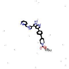 CC(C)(C)OC(=O)N1CCC(c2ccc(-c3cnc4[nH]cc(-c5cnn(Cc6ccccn6)c5)c4c3)cc2)CC1